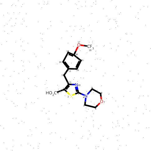 O=C(O)c1sc(N2CCOCC2)nc1Cc1ccc(OC(F)(F)F)cc1